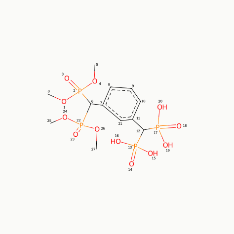 COP(=O)(OC)C(c1cccc(C(P(=O)(O)O)P(=O)(O)O)c1)P(=O)(OC)OC